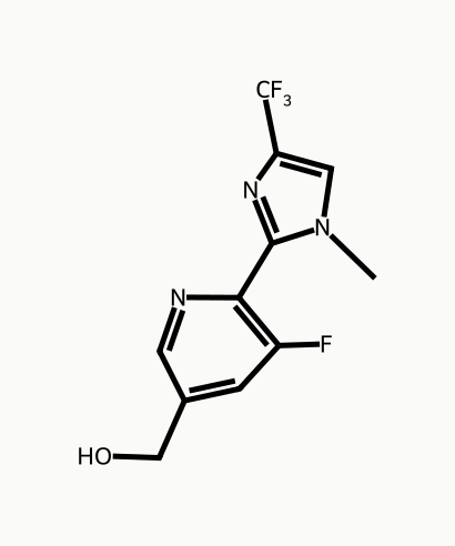 Cn1cc(C(F)(F)F)nc1-c1ncc(CO)cc1F